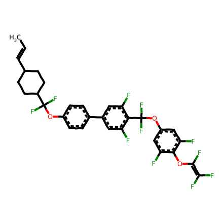 C/C=C/C1CCC(C(F)(F)Oc2ccc(-c3cc(F)c(C(F)(F)Oc4cc(F)c(OC(F)=C(F)F)c(F)c4)c(F)c3)cc2)CC1